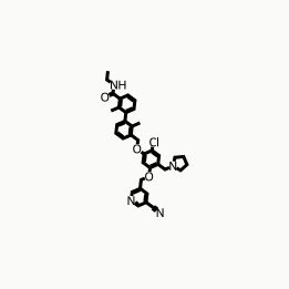 CCNC(=O)c1cccc(-c2cccc(COc3cc(OCc4cncc(C#N)c4)c(CN4CCCC4)cc3Cl)c2C)c1C